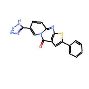 O=c1c2cc(-c3ccccc3)sc2nc2ccc(-c3nnn[nH]3)cn12